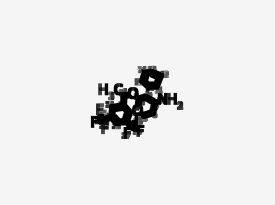 CC(OC1OCC[C@@H](N)[C@H]1c1ccccc1)c1cc(C(F)(F)F)cc(C(F)(F)F)c1